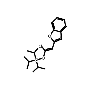 CC(C)[Si](OC(Cl)=Cc1cc2ccccc2o1)(C(C)C)C(C)C